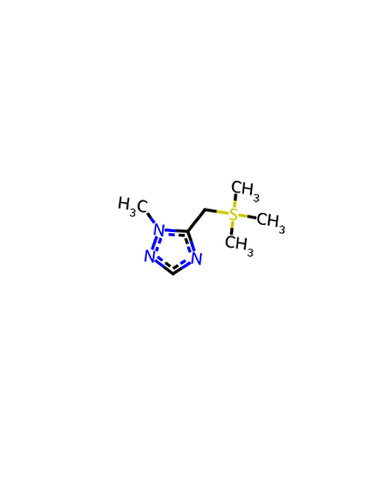 Cn1ncnc1CS(C)(C)C